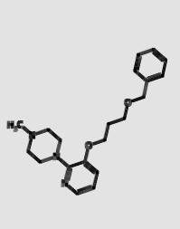 CN1CCN(c2ncccc2OCCCOCc2ccccc2)CC1